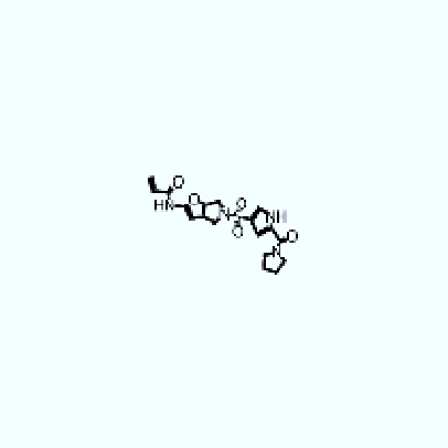 C=CC(=O)Nc1cc2c(o1)CN(S(=O)(=O)c1c[nH]c(C(=O)N3CCCC3)c1)C2